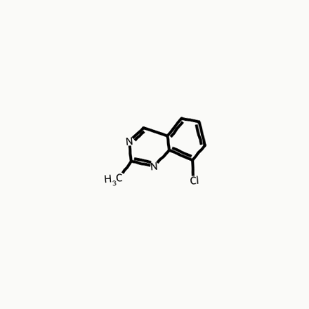 Cc1ncc2cccc(Cl)c2n1